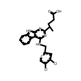 CC(CCC(=O)O)c1nc(NCc2ccc(Cl)c(Cl)c2)c2c(n1)[nH]c1ccccc12